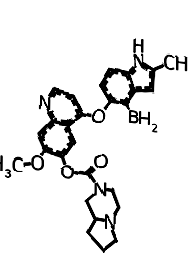 Bc1c(Oc2ccnc3cc(OC)c(OC(=O)N4CCN5CCCC5C4)cc23)ccc2[nH]c(C)cc12